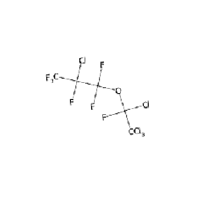 FC(F)(F)C(F)(Cl)C(F)(F)OC(F)(Cl)C(Cl)(Cl)Cl